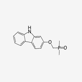 CP(C)(=O)COc1ccc2c(c1)[nH]c1ccccc12